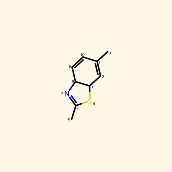 CC1=CC2SC(C)=NC2C=C1